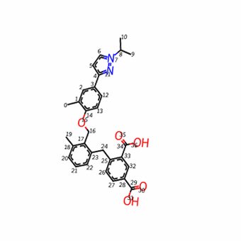 Cc1cc(-c2ccn(C(C)C)n2)ccc1OCc1c(C)cccc1Cc1ccc(C(=O)O)cc1C(=O)O